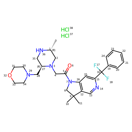 C[C@@H]1CN(CC(=O)N2CC(C)(C)c3cnc(C(F)(F)c4ccccc4)cc32)[C@@H](CN2CCOCC2)CN1.Cl.Cl